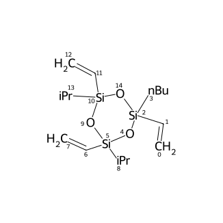 C=C[Si]1(CCCC)O[Si](C=C)(C(C)C)O[Si](C=C)(C(C)C)O1